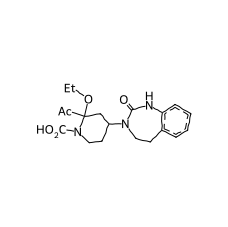 CCOC1(C(C)=O)CC(N2CCc3ccccc3NC2=O)CCN1C(=O)O